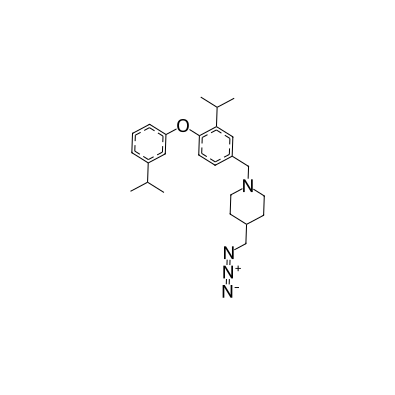 CC(C)c1cccc(Oc2ccc(CN3CCC(CN=[N+]=[N-])CC3)cc2C(C)C)c1